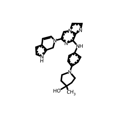 CC1(O)CCN(c2ccc(Nc3nc(N4C=Cc5cc[nH]c5C4)cn4ccnc34)cc2)CC1